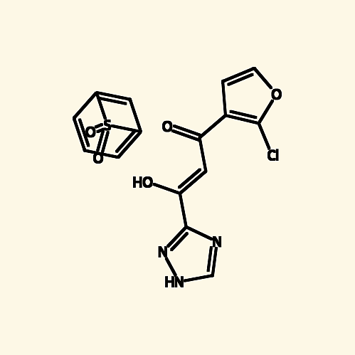 O=C(C=C(O)c1nc[nH]n1)c1ccoc1Cl.O=S1(=O)c2cccc1c2